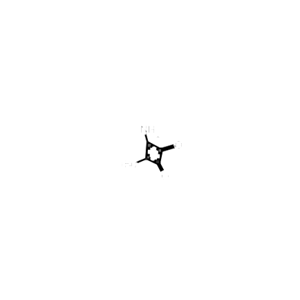 CC(C)(C)c1c(N)c(=O)c1=O